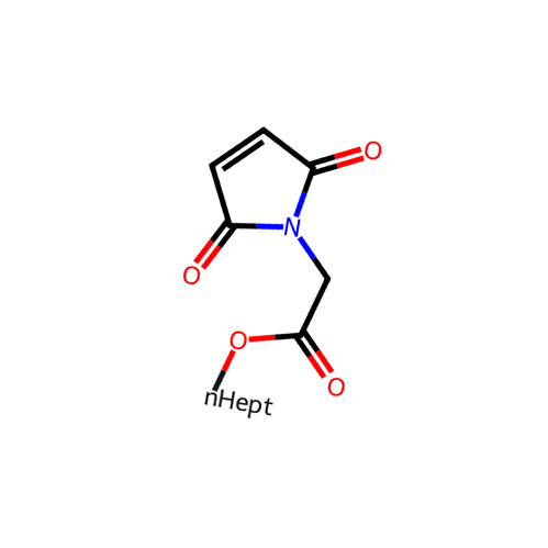 CCCCCCCOC(=O)CN1C(=O)C=CC1=O